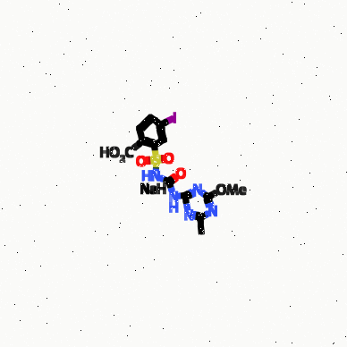 COc1nc(C)nc(NC(=O)NS(=O)(=O)c2cc(I)ccc2C(=O)O)n1.[NaH]